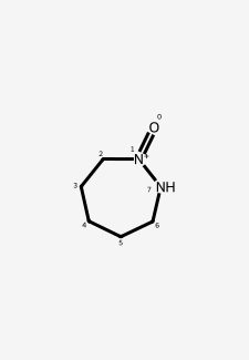 O=[N+]1CCCCCN1